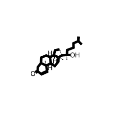 CC(C)CCC[C@@](C)(O)[C@H]1CC[C@H]2[C@@H]3CCC4CC(=O)C=C[C@]4(C)[C@H]3CC[C@@]21C